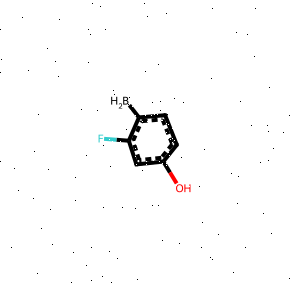 Bc1ccc(O)cc1F